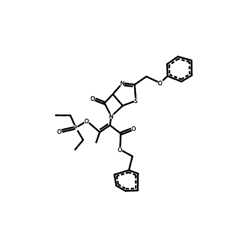 CCP(=O)(CC)OC(C)=C(C(=O)OCc1ccccc1)N1C(=O)C2N=C(COc3ccccc3)SC21